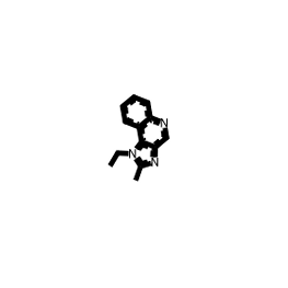 CCn1c(C)nc2cnc3ccccc3c21